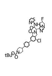 CC(C)(C)OC(=O)N1CCC(c2ccc(-c3cc(Cl)c4c(c3)C(=O)N(C(C(=O)Nc3nccs3)c3ncn5c3C[C@@H](F)C5)C4)cc2)CC1